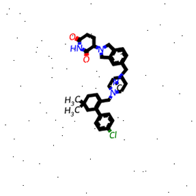 CC1(C)CCC(CN2CC3CCC2CN3Cc2ccc3c(c2)CN(C2CCC(=O)NC2=O)C3)=C(c2ccc(Cl)cc2)C1